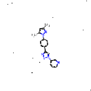 FC(F)(F)c1cc(C(F)(F)F)n(-c2ccc(-c3cn(-c4cccnc4)nn3)cc2)n1